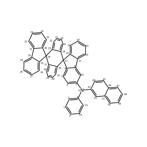 c1ccc(N(c2ccc3c(c2)-c2ccccc2C32c3ccccc3C3(c4ccccc4-c4ccccc43)c3ccccc32)c2ccc3ccccc3c2)cc1